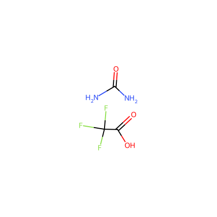 NC(N)=O.O=C(O)C(F)(F)F